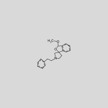 COC1OC2(CCN(CCc3ccccc3)C2)c2ccccc21